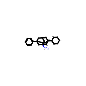 NC12CC3CC(c4ccccc4)(C1)CC(C1CCCCC1)(C3)C2